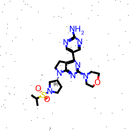 CC(C)S(=O)(=O)N1CC[C@@H](N2CCc3c(-c4cnc(N)nc4)nc(N4CCOCC4)nc32)C1